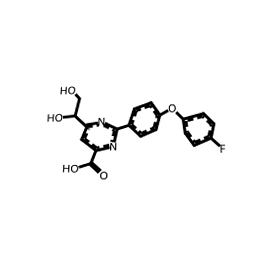 O=C(O)c1cc(C(O)CO)nc(-c2ccc(Oc3ccc(F)cc3)cc2)n1